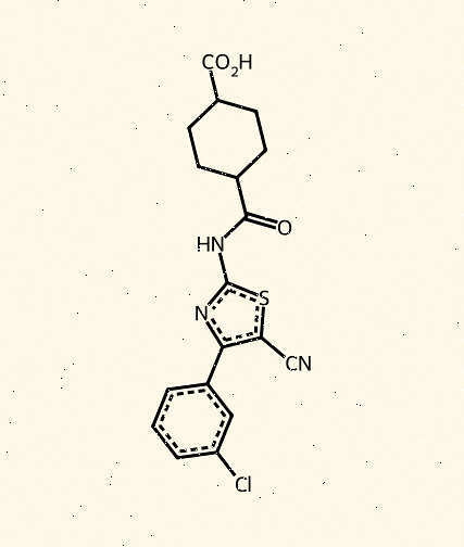 N#Cc1sc(NC(=O)C2CCC(C(=O)O)CC2)nc1-c1cccc(Cl)c1